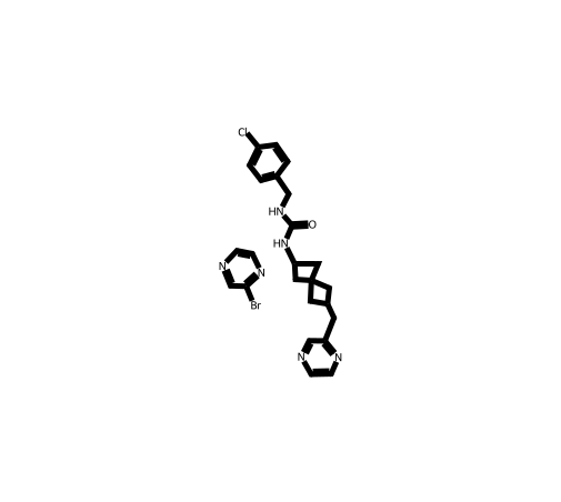 Brc1cnccn1.O=C(NCc1ccc(Cl)cc1)NC1CC2(CC(Cc3cnccn3)C2)C1